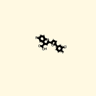 O=C(O)c1cc(-c2ccc(-c3ccc(F)c(Cl)c3)o2)nc2ccc(F)cc12